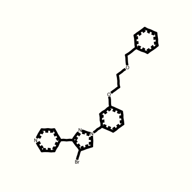 Brc1cn(-c2cccc(OCCOCc3ccccc3)c2)nc1-c1ccncc1